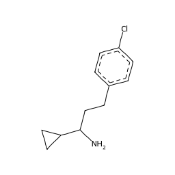 NC(CCc1ccc(Cl)cc1)C1CC1